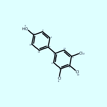 Oc1ccc(-c2cc(Cl)c(Cl)c(Cl)c2)cc1